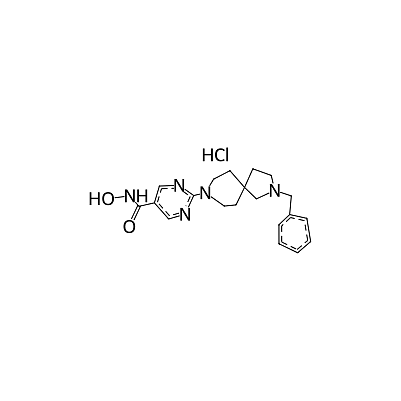 Cl.O=C(NO)c1cnc(N2CCC3(CCN(Cc4ccccc4)C3)CC2)nc1